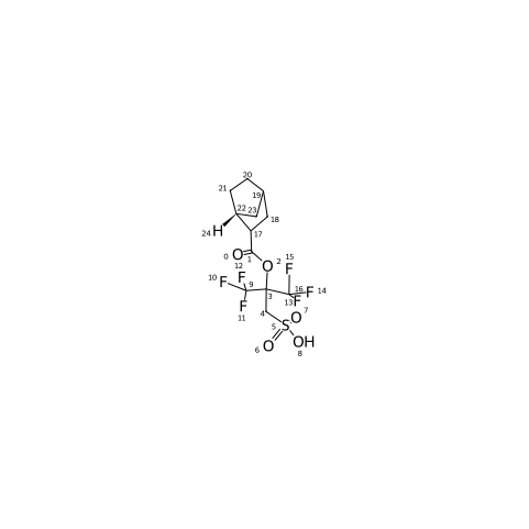 O=C(OC(CS(=O)(=O)O)(C(F)(F)F)C(F)(F)F)C1CC2CC[C@@H]1C2